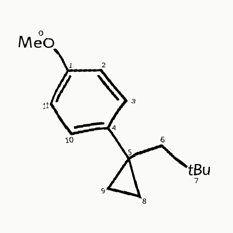 COc1ccc(C2(CC(C)(C)C)CC2)cc1